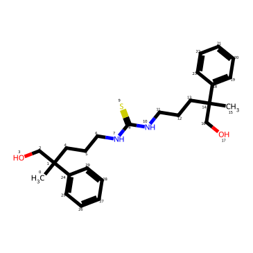 CC(CO)(CCCNC(=S)NCCCC(C)(CO)c1ccccc1)c1ccccc1